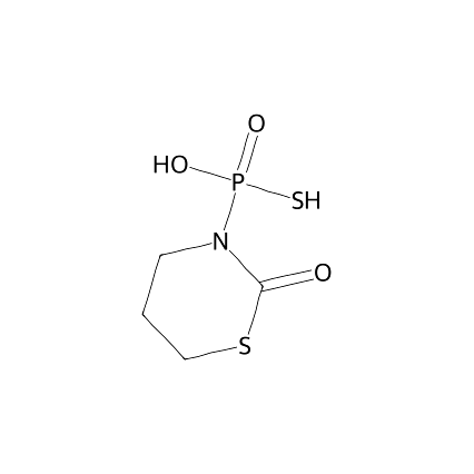 O=C1SCCCN1P(=O)(O)S